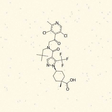 Cc1ncc(Cl)c(C(=O)CN(CC(C)(C)C)C(=O)c2cnn([C@H]3CC[C@](C)(C(=O)O)CC3)c2C(F)(F)F)c1Cl